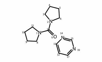 O=C(N1CCCC1)N1CCCC1.c1cncnc1